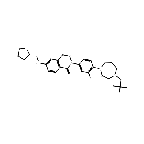 COc1cc(N2CCc3cc(OC[C@@H]4CCCO4)ccc3C2=O)ccc1N1CCCN(CC(C)(C)O)CC1